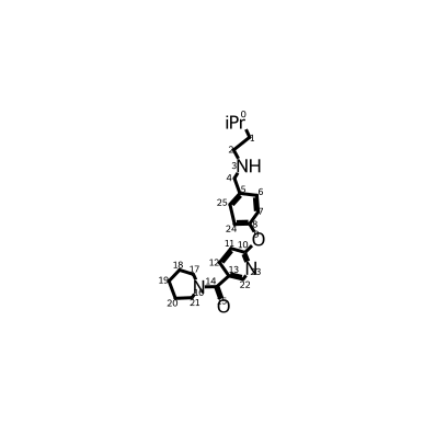 CC(C)CCNCc1ccc(Oc2ccc(C(=O)N3CCCCC3)cn2)cc1